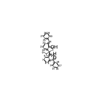 CCC(C)(Pc1ccccc1C(O)c1ccccc1)c1cccc(Cc2ccccc2)c1O